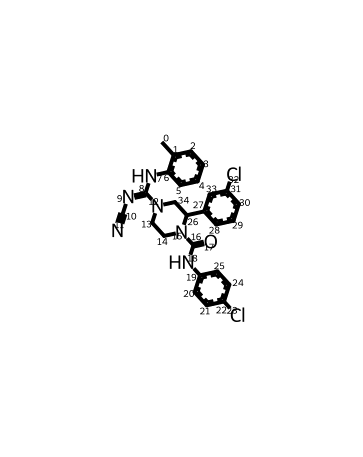 Cc1ccccc1N/C(=N/C#N)N1CCN(C(=O)Nc2ccc(Cl)cc2)C(c2cccc(Cl)c2)C1